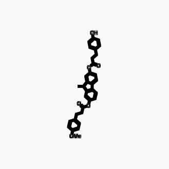 COc1ccc(CCC(=O)Oc2ccc3c(c2)C(C)c2cc(OC(=O)CCc4ccc(O)cc4)ccc2-3)cc1